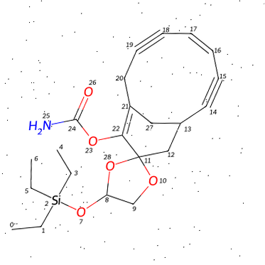 CC[Si](CC)(CC)OC1COC2(CC3C#CC=CC#CCC(=C2OC(N)=O)C3)O1